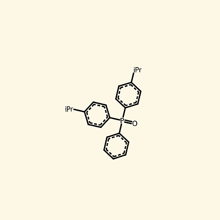 CC(C)c1ccc(P(=O)(c2ccccc2)c2ccc(C(C)C)cc2)cc1